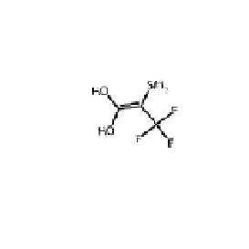 OC(O)=C([SiH3])C(F)(F)F